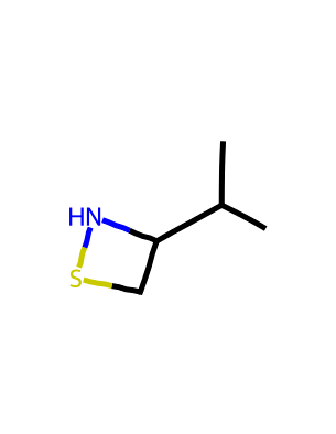 CC(C)C1CSN1